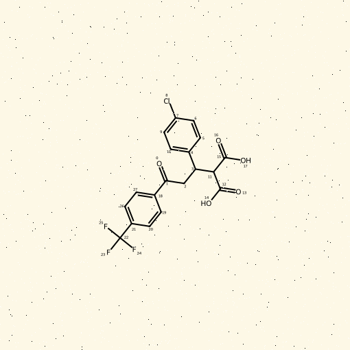 O=C(CC(c1ccc(Cl)cc1)C(C(=O)O)C(=O)O)c1ccc(C(F)(F)F)cc1